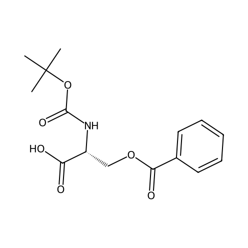 CC(C)(C)OC(=O)N[C@H](COC(=O)c1ccccc1)C(=O)O